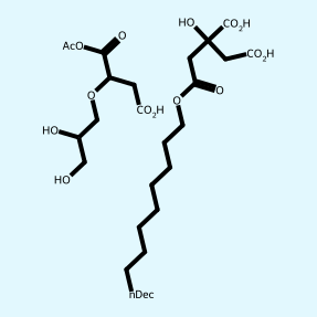 CC(=O)OC(=O)C(CC(=O)O)OCC(O)CO.CCCCCCCCCCCCCCCCCCOC(=O)CC(O)(CC(=O)O)C(=O)O